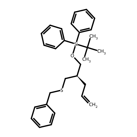 C=CC[C@H](CO[Si](c1ccccc1)(c1ccccc1)C(C)(C)C)CSCc1ccccc1